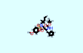 CCCC(C)(C)CN(C[C@@H](O)[C@H](Cc1ccccc1)NC(=O)OC(C)(C)C)S(=O)(=O)c1ccc(OC)cc1